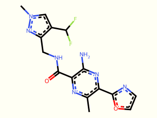 Cc1nc(C(=O)NCc2nn(C)cc2C(F)F)c(N)nc1-c1ncco1